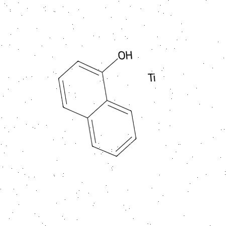 Oc1cccc2ccccc12.[Ti]